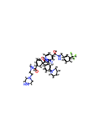 CN(CCN1CCNCC1)C(=O)C1=CC=CC(C(N)=O)(c2ccc(N3CCCCC3)cc2-c2cc(C(=O)NCc3cccc(C(F)(F)F)c3)ccn2)C1